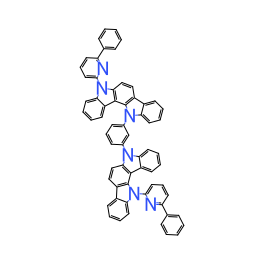 c1ccc(-c2cccc(-n3c4ccccc4c4c3ccc3c5ccccc5n(-c5cccc(-n6c7ccccc7c7c6ccc6c8ccccc8n(-c8cccc(-c9ccccc9)n8)c67)c5)c34)n2)cc1